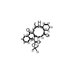 Cc1cc2c(=O)c3ccccc3n(C(=O)OC(C)(C)C)c2ccc(=O)c2c([nH]1)C=CCC2